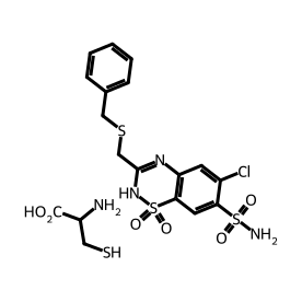 NC(CS)C(=O)O.NS(=O)(=O)c1cc2c(cc1Cl)N=C(CSCc1ccccc1)NS2(=O)=O